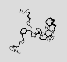 CCCCOC[C@H](NC(=O)N1CCC[C@@H]2C(=O)N3CCc4ccccc4[C@H]3C[C@@H]21)c1cccc(OCCCC)c1